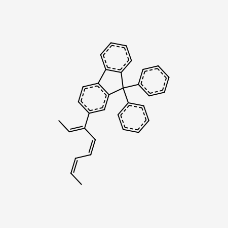 C\C=C/C=C\C(=C\C)c1ccc2c(c1)C(c1ccccc1)(c1ccccc1)c1ccccc1-2